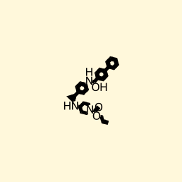 C=CCOC(=O)N1CCC(NC2CC2c2ccc(NC(O)c3ccc(-c4ccccc4)cc3)cc2)CC1